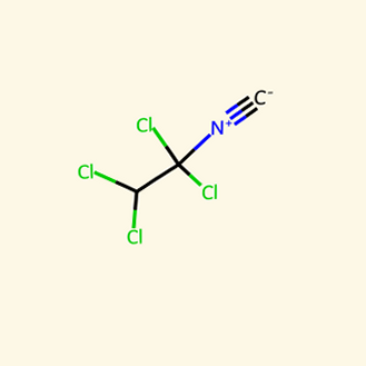 [C-]#[N+]C(Cl)(Cl)C(Cl)Cl